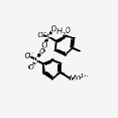 Cc1ccc(S(=O)(=O)[O-])cc1.Cc1ccc(S(=O)(=O)[O-])cc1.O.[Mn+2]